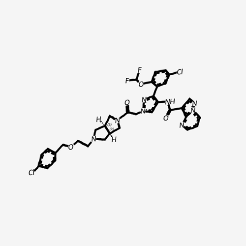 O=C(Nc1cn(CC(=O)N2C[C@H]3CN(CCOCc4ccc(Cl)cc4)C[C@H]3C2)nc1-c1cc(Cl)ccc1OC(F)F)c1cnn2cccnc12